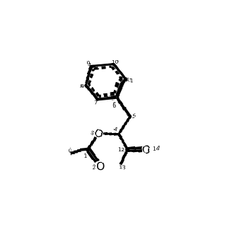 CC(=O)OC(Cc1ccccc1)C(C)=O